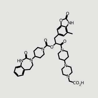 Cc1cc(CC(OC(=O)N2CCC(N3CCc4ccccc4NC3=O)CC2)C(=O)N2CCC(N3CCN(CC(=O)O)CC3)CC2)cc2oc(=O)[nH]c12